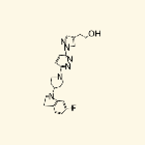 OCCc1cnn(-c2ccc(N3CCC(N4CCc5ccc(F)cc54)CC3)nn2)c1